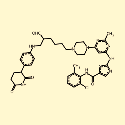 Cc1nc(Nc2ncc(C(=O)Nc3c(C)cccc3Cl)s2)cc(N2CCN(CCCCC(C=O)CNc3ccc(C4CCC(=O)NC4=O)cc3)CC2)n1